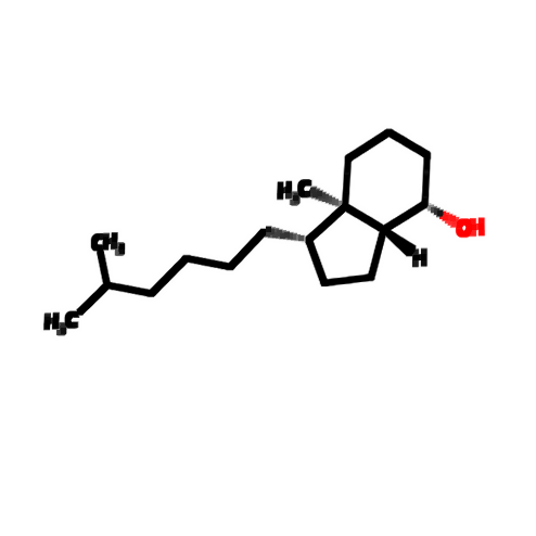 CC(C)CCCC[C@H]1CC[C@H]2[C@@H](O)CCC[C@]12C